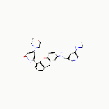 CCNc1cncc(CNc2ccc3c(c2)Cc2cccc(-c4cc(N5CCOCC5)cc(=O)[nH]4)c2O3)c1